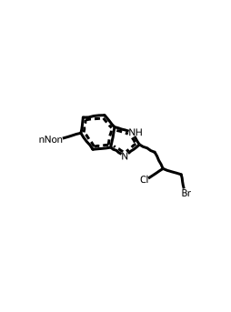 CCCCCCCCCc1ccc2[nH]c(CC(Cl)CBr)nc2c1